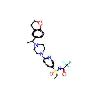 CCS(=O)(=NC(=O)C(F)(F)F)c1ccc(N2CCN(C(C)c3ccc4c(c3)CCO4)CC2)nc1